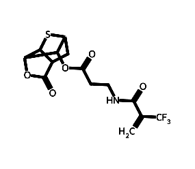 C=C(C(=O)NCCC(=O)OC1C2CC3C(=O)OC1C3S2)C(F)(F)F